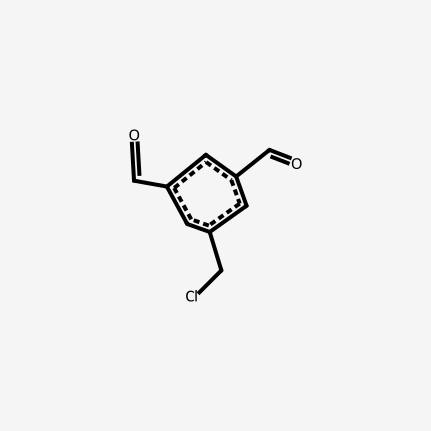 O=Cc1cc(C=O)cc(CCl)c1